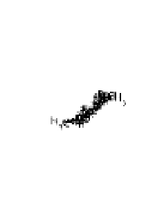 CCCCOc1ccc(OC(=O)c2ccc(C3CCC(c4ccc(OCC)c(F)c4F)CC3)cc2F)c(F)c1F